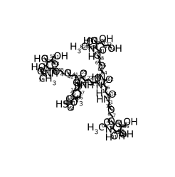 CC(=O)NC1C(OCCOCCNC(=O)CCC(NC(=O)CCC(NC(=O)C2CCC(OP(C)(=O)S)CC2)C(=O)NCCOCCOC2OC(CO)C(O)C(O)C2NC(C)=O)C(=O)NCCOCCOC2OC(CO)C(O)C(O)C2NC(C)=O)OC(CO)C(O)C1O